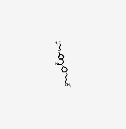 CCCCC[C@H]1CC[C@H](C(C#N)Cc2ccc(OCCCC)cc2)CC1